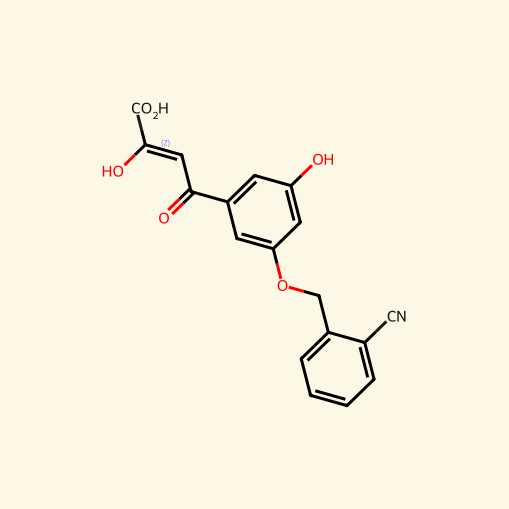 N#Cc1ccccc1COc1cc(O)cc(C(=O)/C=C(\O)C(=O)O)c1